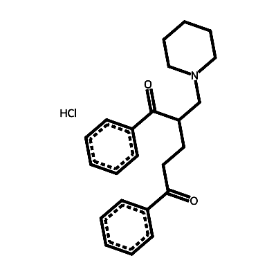 Cl.O=C(CCC(CN1CCCCC1)C(=O)c1ccccc1)c1ccccc1